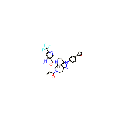 C=CC(=O)N1CCc2nn(-c3ccc(C45CC(C4)C5)cc3)c3c2[C@H](C1)N(C(=O)c1cnc(C(F)(F)F)cc1N)CC3